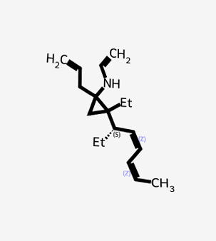 C=CCC1(NC=C)CC1(CC)[C@H](/C=C\C=C/C)CC